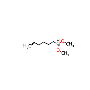 C=CCCCC[SiH](OC)OC